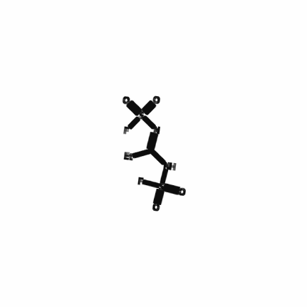 CC/C(=N\S(=O)(=O)F)NS(=O)(=O)F